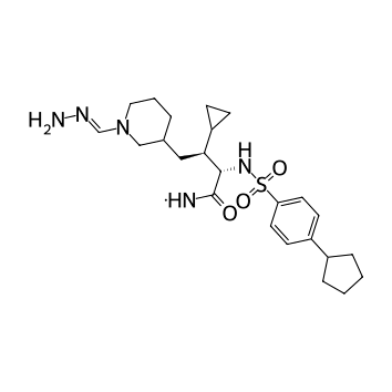 [NH]C(=O)[C@@H](NS(=O)(=O)c1ccc(C2CCCC2)cc1)[C@@H](CC1CCCN(C=NN)C1)C1CC1